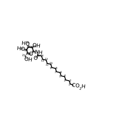 O=C(O)CCCCCCCCCCCCCCC(=O)N[C@@H]1O[C@H](CO)[C@@H](O)[C@H](O)[C@H]1O